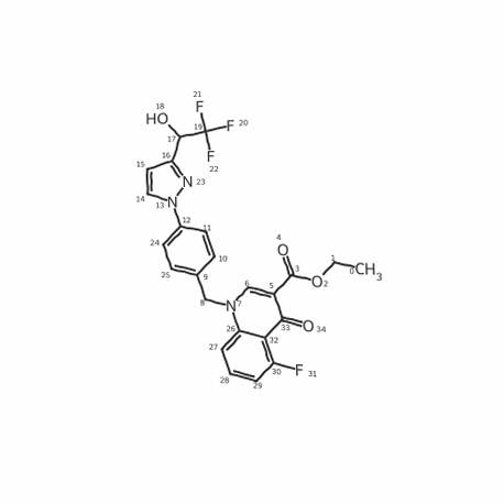 CCOC(=O)c1cn(Cc2ccc(-n3ccc(C(O)C(F)(F)F)n3)cc2)c2cccc(F)c2c1=O